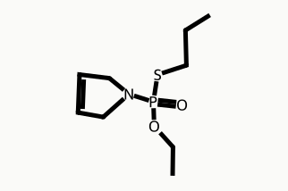 CCCSP(=O)(OCC)N1CC=CC1